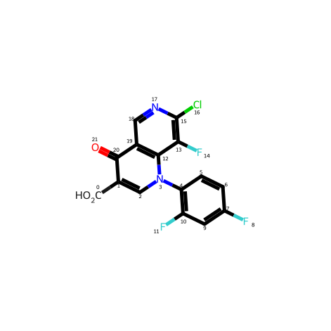 O=C(O)c1cn(-c2ccc(F)cc2F)c2c(F)c(Cl)ncc2c1=O